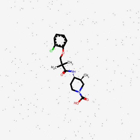 C[C@H]1CN(C(=O)O)CC[C@@H]1NC(=O)C(C)(C)COc1ccccc1Cl